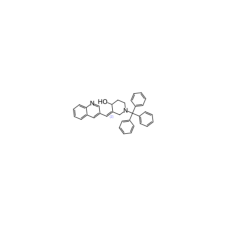 OC1CCN(C(c2ccccc2)(c2ccccc2)c2ccccc2)C/C1=C/c1cnc2ccccc2c1